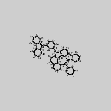 c1ccc(-c2c3c4ccccc4c4ccc5c(c4-3)c3c4c(cccc24)ccc3n5-c2cccc(-n3c4ccccc4c4ccccc43)c2)cc1